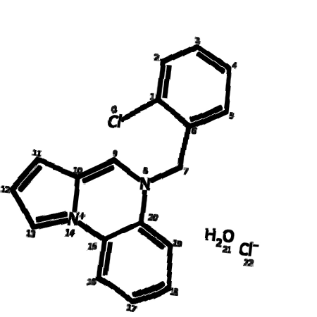 Clc1ccccc1Cn1cc2ccc[n+]-2c2ccccc21.O.[Cl-]